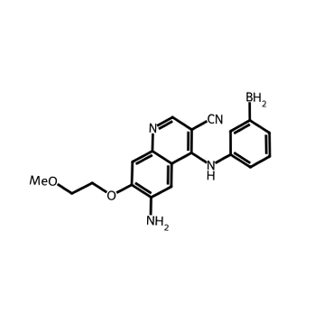 Bc1cccc(Nc2c(C#N)cnc3cc(OCCOC)c(N)cc23)c1